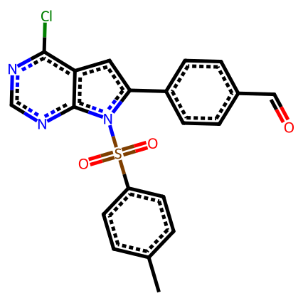 Cc1ccc(S(=O)(=O)n2c(-c3ccc(C=O)cc3)cc3c(Cl)ncnc32)cc1